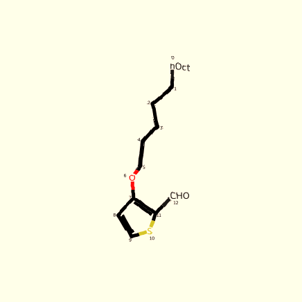 CCCCCCCCCCCCCOc1ccsc1C=O